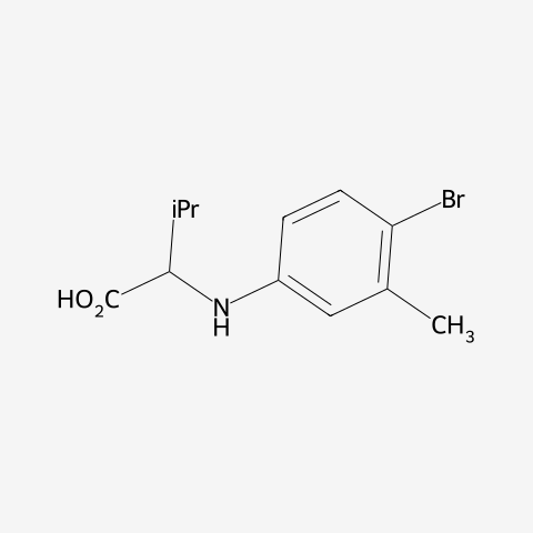 Cc1cc(NC(C(=O)O)C(C)C)ccc1Br